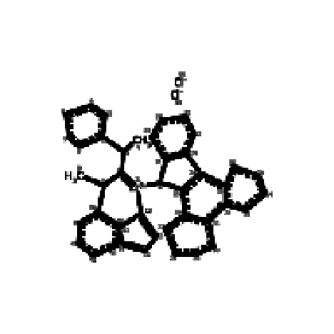 CC([C](C(C)c1ccccc1)=[Zr+2]([C]1=CC=CC1)[CH]1c2ccccc2-c2c1c1ccccc1c1ccccc21)c1ccccc1.[Cl-].[Cl-]